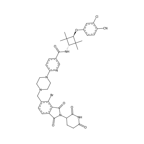 CC1(C)[C@H](NC(=O)c2ccc(N3CCN(Cc4ccc5c(c4Br)C(=O)N(C4CCC(=O)NC4=O)C5=O)CC3)nc2)C(C)(C)[C@H]1Oc1ccc(C#N)c(Cl)c1